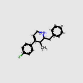 CC1C(c2ccc(F)cc2)=CCNC1Cc1ccccc1